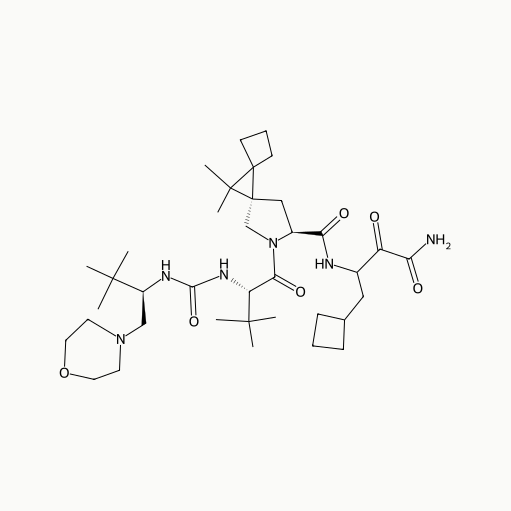 CC(C)(C)[C@H](CN1CCOCC1)NC(=O)N[C@H](C(=O)N1C[C@]2(C[C@H]1C(=O)NC(CC1CCC1)C(=O)C(N)=O)C(C)(C)C21CCC1)C(C)(C)C